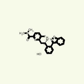 CN(C)C(=O)c1ccc(F)c(C[C@H](N)c2ccccc2-c2noc3ccccc23)n1.Cl